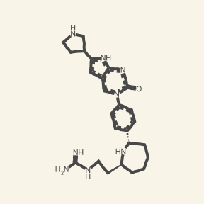 N=C(N)NCC[C@@H]1CCCC[C@@H](c2ccc(-n3cc4cc(C5CCNC5)[nH]c4nc3=O)cc2)N1